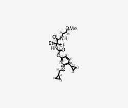 CCC(CC)(NC(=O)Oc1ccc(C2CC2)c(OCC2CC2)n1)C(=O)NCCOC